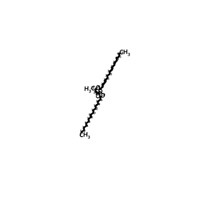 CCCCCCCCC=CCCCCCCCC(=O)ON(CCC)OC(=O)CCCCCCCC=CCCCCCCCC